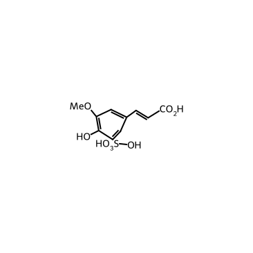 COc1cc(/C=C/C(=O)O)ccc1O.O=S(=O)(O)O